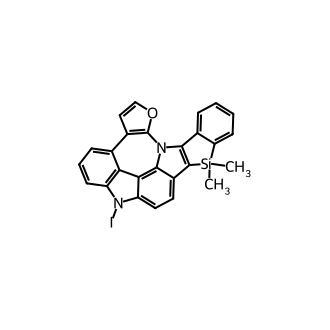 C[Si]1(C)c2ccccc2-c2c1c1ccc3c4c5c(cccc5n3I)c3ccoc3n2c14